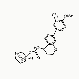 COc1ncc(-c2ccc3c(c2)OCCC3NC(=O)O[C@@H]2CN3CCC2CC3)cc1C(F)(F)F